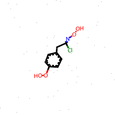 OON=C(Cl)Cc1ccc(OO)cc1